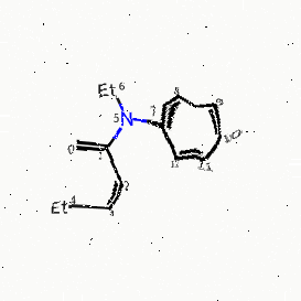 C=C(/C=C\CC)N(CC)c1ccccc1